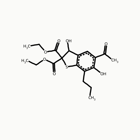 CCCc1c(O)c(C(C)=O)cc2c1SC(C(=O)OCC)(C(=O)OCC)C2O